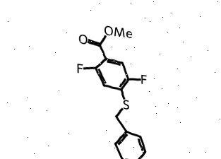 COC(=O)c1cc(F)c(SCc2ccccc2)cc1F